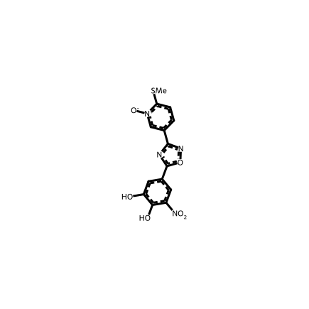 CSc1ccc(-c2noc(-c3cc(O)c(O)c([N+](=O)[O-])c3)n2)c[n+]1[O-]